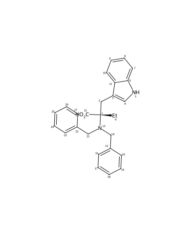 CC[C@](Cc1c[nH]c2ccccc12)(C(=O)O)N(Cc1ccccc1)Cc1ccccc1